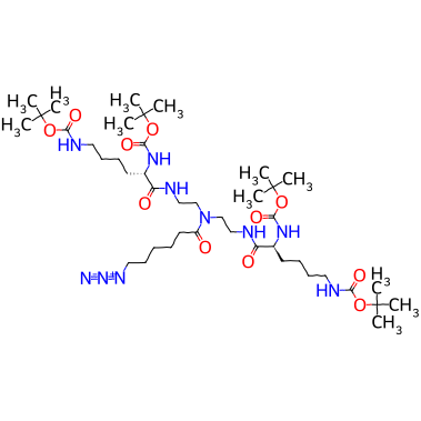 CC(C)(C)OC(=O)NCCCC[C@H](NC(=O)OC(C)(C)C)C(=O)NCCN(CCNC(=O)[C@H](CCCCNC(=O)OC(C)(C)C)NC(=O)OC(C)(C)C)C(=O)CCCCCN=[N+]=[N-]